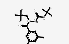 Cc1cc(C)cc(C(=O)N(CC(C)(C)C)NC(=O)OC(C)(C)C)c1